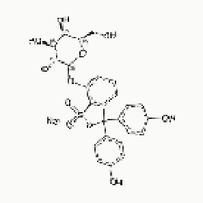 O=S1(=O)OC(c2ccc(O)cc2)(c2ccc(O)cc2)c2cccc(O[C@@H]3O[C@H](CO)[C@H](O)[C@H](O)[C@H]3[O-])c21.[Na+]